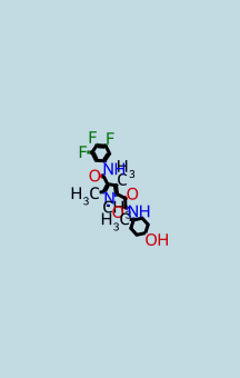 Cc1c(C(=O)Nc2cc(F)c(F)c(F)c2)c(C)n(C)c1C(=O)C(=O)NC1(C)CCC(O)CC1